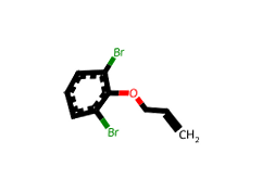 C=CCOc1c(Br)c[c]cc1Br